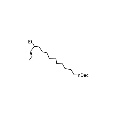 CC=CC(CC)CCCCCCCCCCCCCCCCCCCC